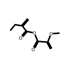 C=C(CC)C(=O)OC(=O)C(=C)OC